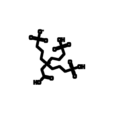 O=C(O)C[N+](CCCS(=O)(=O)[O-])(CCCS(=O)(=O)O)CCCS(=O)(=O)O